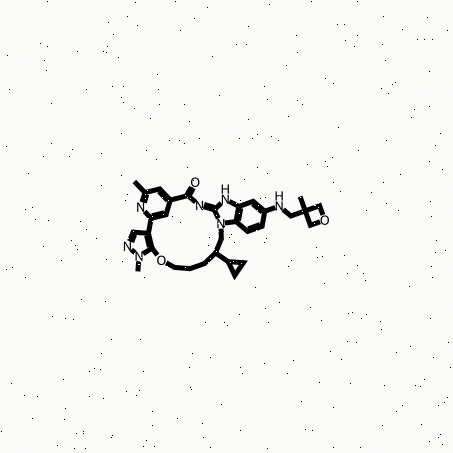 Cc1cc2cc(n1)-c1cnn(C)c1OCCCC(C1CC1)CN1/C(=N/C2=O)Nc2cc(NCC3(C)COC3)ccc21